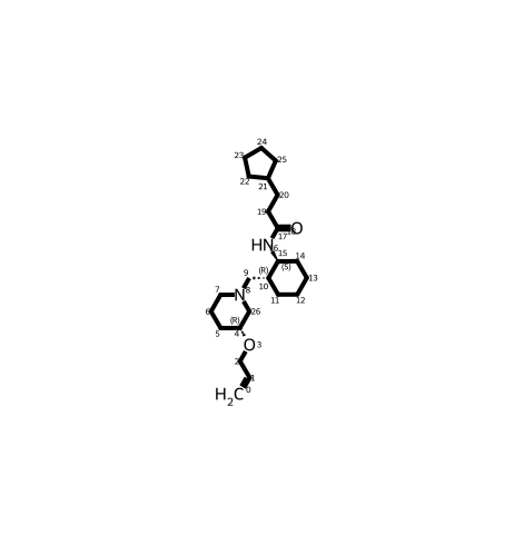 C=CCO[C@@H]1CCCN(C[C@H]2CCCC[C@@H]2NC(=O)CCC2CCCC2)C1